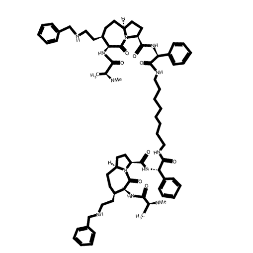 CN[C@@H](C)C(=O)N[C@@H]1C(=O)N2[C@@H](CC[C@@H]1CCNCc1ccccc1)CC[C@H]2C(=O)N[C@H](C(=O)NCCCCCCCCNC(=O)[C@@H](NC(=O)[C@@H]1CC[C@@H]2CC[C@H](CCNCc3ccccc3)[C@H](NC(=O)[C@H](C)NC)C(=O)N21)c1ccccc1)c1ccccc1